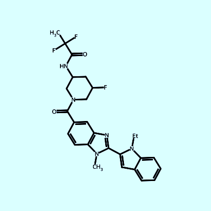 CCn1c(-c2nc3cc(C(=O)N4CC(F)CC(NC(=O)C(C)(F)F)C4)ccc3n2C)cc2ccccc21